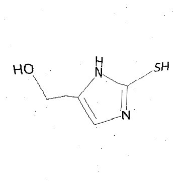 OCc1cnc(S)[nH]1